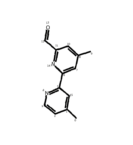 Cc1ccnc(-c2cc(C)cc(C=O)n2)c1